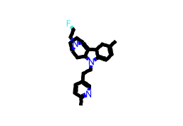 CC1=CC=C2C(C1)C1=C3CCC(CC1N2CCc1ccc(C)nc1)N3CCF